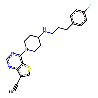 C#Cc1csc2c(N3CCC(NCCCc4ccc(F)cc4)CC3)ncnc12